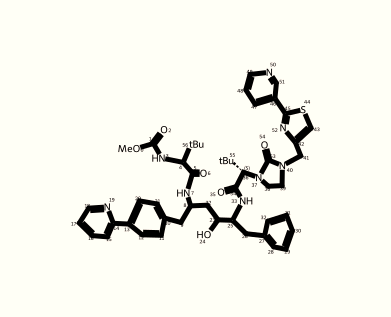 COC(=O)NC(C(=O)NC(Cc1ccc(-c2ccccn2)cc1)CC(O)C(Cc1ccccc1)NC(=O)[C@@H](N1CCN(Cc2csc(-c3cccnc3)n2)C1=O)C(C)(C)C)C(C)(C)C